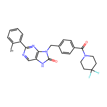 CC(C)c1ccccc1-c1ncc2[nH]c(=O)n(Cc3ccc(C(=O)N4CCC(F)(F)CC4)cc3)c2n1